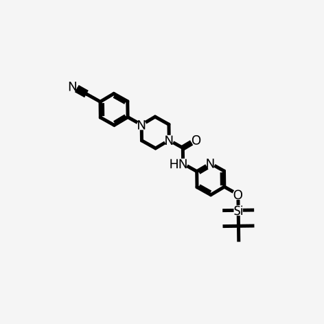 CC(C)(C)[Si](C)(C)Oc1ccc(NC(=O)N2CCN(c3ccc(C#N)cc3)CC2)nc1